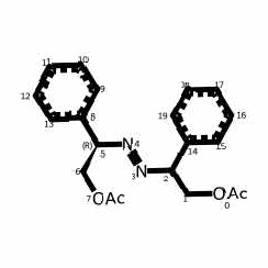 CC(=O)OCC(N=N[C@@H](COC(C)=O)c1ccccc1)c1ccccc1